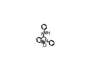 COC(=O)N(C/C(=N\Nc1ccccc1)c1ccccn1)c1ccccc1